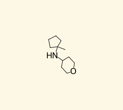 CC1(NC2CCOCC2)CCCC1